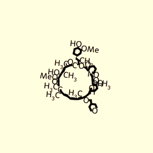 CO[C@@H]1C[C@H](C[C@@H](C)[C@@H]2CC(=O)[C@H](C)/C=C(\C)[C@@H](O)[C@@H](OC)C(=O)[C@H](C)C[C@H](C)/C=C/C=C/C=C(\C)C(OCC3CCOCC3)C[C@@H]3CC[C@@H](C)[C@@](O)(O3)C(=O)C(=O)N3CCCCC3C(=O)O2)CC[C@H]1O